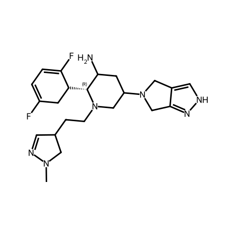 CN1CC(CCN2CC(N3Cc4c[nH]nc4C3)CC(N)[C@H]2C2CC(F)=CC=C2F)C=N1